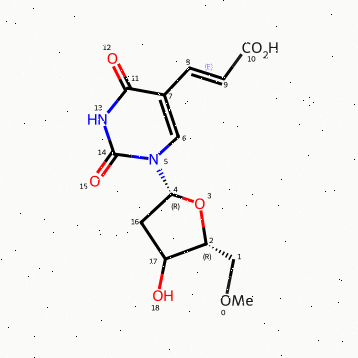 COC[C@H]1O[C@@H](n2cc(/C=C/C(=O)O)c(=O)[nH]c2=O)CC1O